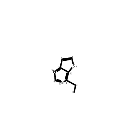 CCc1ncnc2ccsc12